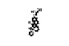 C[C@]12CC[C@H](OC[C@H](O)CO)CC1CC[C@@H]1C2CC[C@@]2(C)[C@H]1CCCCN2C(=O)[C@H]1CCCCO1